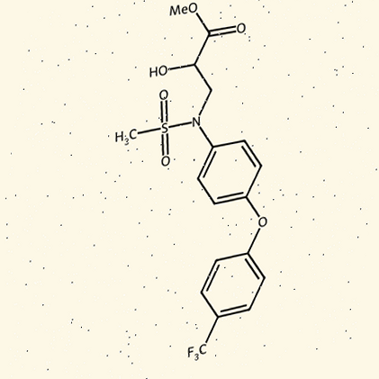 COC(=O)C(O)CN(c1ccc(Oc2ccc(C(F)(F)F)cc2)cc1)S(C)(=O)=O